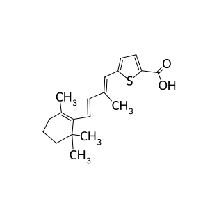 CC1=C(/C=C/C(C)=C/c2ccc(C(=O)O)s2)C(C)(C)CCC1